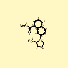 COC(=O)c1ccnc2ccc(N3CCC[C@H]3C(F)(F)F)cc12